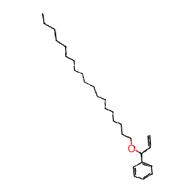 C=CC(OCCCCCCCCCCCCCCCCCCC)c1ccccc1